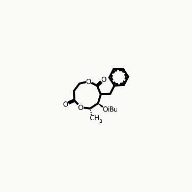 CC(C)CO[C@@H]1C(Cc2ccccc2)C(=O)OCCC(=O)O[C@H]1C